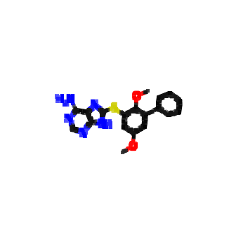 COc1cc(Sc2nc3c(N)ncnc3[nH]2)c(OC)c(-c2ccccc2)c1